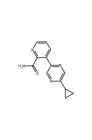 NC(=O)c1ncccc1-c1cnc(C2CC2)cn1